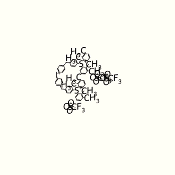 Cc1cccc([S+](c2ccc(Cc3ccc([I+]c4ccc(Cc5ccc([S+](c6cccc(C)c6C)c6cccc(C)c6C)cc5)cc4)cc3)cc2)c2cccc(C)c2C)c1C.O=S(=O)([O-])C(F)(F)F.O=S(=O)([O-])C(F)(F)F.O=S(=O)([O-])C(F)(F)F